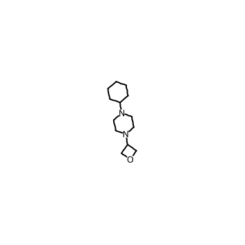 C1CCC(N2CCN(C3COC3)CC2)CC1